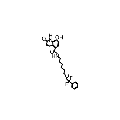 O=C(CNCCCCCCOCC(F)(F)c1ccccc1)c1ccc(O)c2[nH]c(=O)ccc12